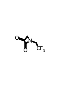 O=C1CN(CC(F)(F)F)C1=O